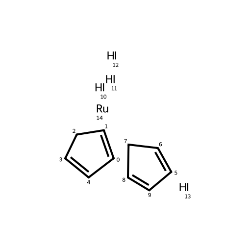 C1=CCC=C1.C1=CCC=C1.I.I.I.I.[Ru]